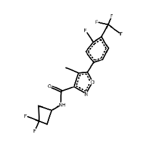 Cc1c(C(=O)NC2CC(F)(F)C2)noc1-c1ccc(C(F)(F)F)c(F)c1